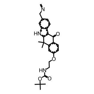 C=NCc1ccc2c3c([nH]c2c1)C(C)(C)c1cc(OCCNC(=O)OC(C)(C)C)ccc1C3=O